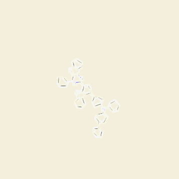 c1ccc(-c2ccc(N(c3ccccc3)c3ccc(-c4ccc(-c5nc(-c6ccccc6)c6sc7ccccc7c6n5)c5oc6ccccc6c45)cc3)cc2)cc1